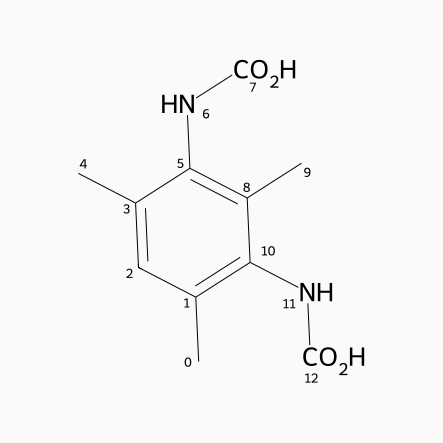 Cc1cc(C)c(NC(=O)O)c(C)c1NC(=O)O